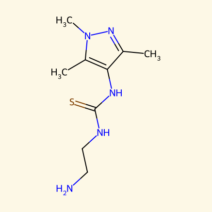 Cc1nn(C)c(C)c1NC(=S)NCCN